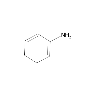 NC1=CCCC=C1